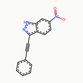 O=[N+]([O-])c1ccc2c(C#Cc3ccccc3)n[nH]c2c1